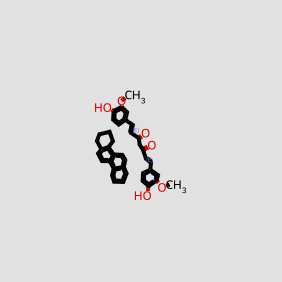 COc1cc(/C=C/C(=O)CC(=O)/C=C/c2ccc(O)c(OC)c2)ccc1O.c1ccc2c(c1)ccc1c3c(ccc12)CCCC3